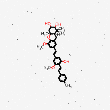 COc1cc(/C=C/c2cc3c(c(OC)c2)O[C@]2(C)C[C@@H](O)[C@@H](O)C(C)(C)[C@H]2C3)cc(O)c1/C=C/c1ccc(C)cc1